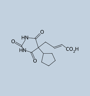 O=C(O)/C=C/CC1(C2CCCC2)C(=O)NC(=O)NC1=O